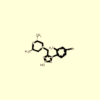 Cc1cc(Br)ccc1-n1nnnc1CN1C[C@@H](C)O[C@@H](C)C1.Cl